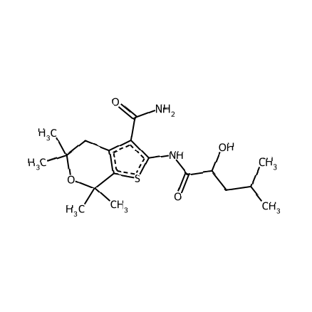 CC(C)CC(O)C(=O)Nc1sc2c(c1C(N)=O)CC(C)(C)OC2(C)C